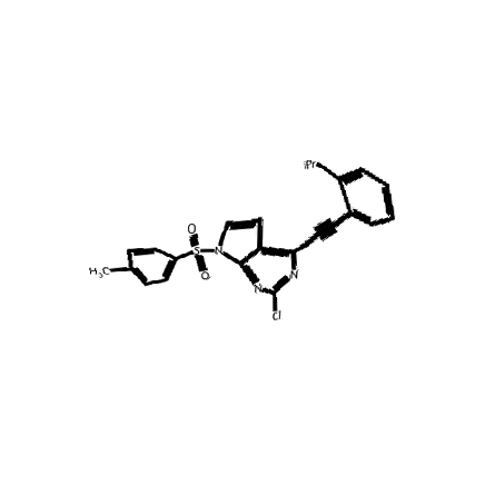 Cc1ccc(S(=O)(=O)n2ccc3c(C#Cc4ccccc4C(C)C)nc(Cl)nc32)cc1